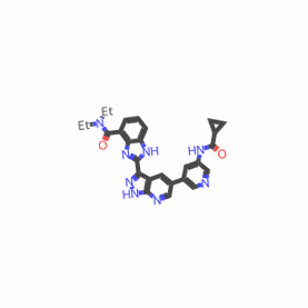 CCN(CC)C(=O)c1cccc2[nH]c(-c3n[nH]c4ncc(-c5cncc(NC(=O)C6CC6)c5)cc34)nc12